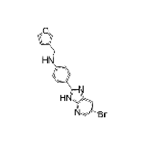 Brc1cnc2[nH]c(-c3ccc(NCc4ccoc4)cc3)nc2c1